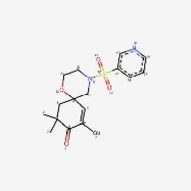 CC1(C)CC2(C=C(C#N)C1=O)CN(S(=O)(=O)c1cccnc1)CCO2